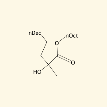 CCCCCCCCCCCCC(C)(O)C(=O)OCCCCCCCC